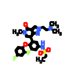 CCS(=O)(=O)Nc1ccc(Oc2ccc(F)cc2F)c(-c2cn(C)c(=O)c3cn(CCN(C)C)nc23)c1